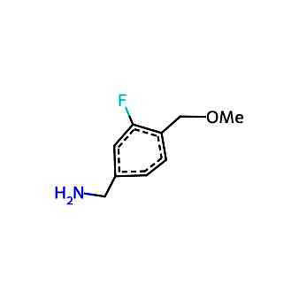 COCc1ccc(CN)cc1F